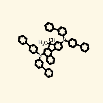 CC1(C)c2cc(N(c3ccc(-c4ccccc4)cc3)c3cccc(-c4ccccc4)c3)ccc2-c2c1cc(N(c1ccc(-c3ccccc3)cc1)c1cccc(-c3ccccc3)c1)c1ccccc21